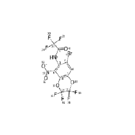 O=C(Nc1c(Br)cc2c(c1[N+](=O)[O-])OC(F)(F)C(F)(F)O2)C(F)(F)F